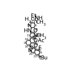 CCNC(C)(C)c1ccc(Nc2cc(-c3cccc(-n4ncc5cc(C(C)(C)C)cc(F)c5c4=O)c3COC(C)=O)nn(C)c2=O)nc1